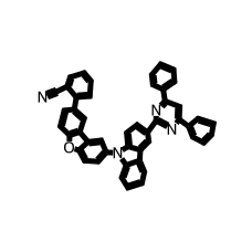 N#Cc1ccccc1-c1ccc2oc3ccc(-n4c5ccccc5c5cc(-c6nc(-c7ccccc7)cc(-c7ccccc7)n6)ccc54)cc3c2c1